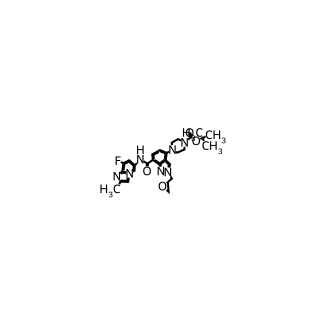 Cc1cn2cc(NC(=O)c3ccc(N4CCN(C(=O)OC(C)(C)C)CC4)c4cn(CC5CO5)nc34)cc(F)c2n1